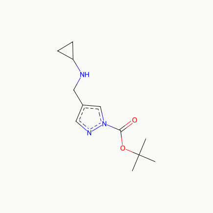 CC(C)(C)OC(=O)n1cc(CNC2CC2)cn1